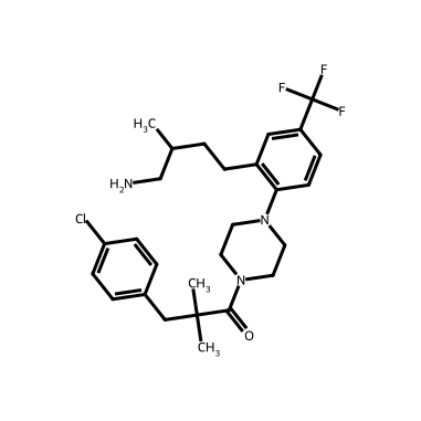 CC(CN)CCc1cc(C(F)(F)F)ccc1N1CCN(C(=O)C(C)(C)Cc2ccc(Cl)cc2)CC1